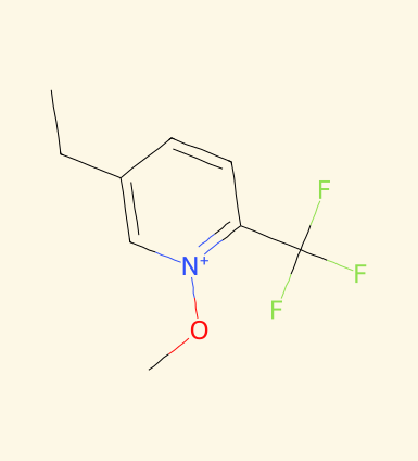 CCc1ccc(C(F)(F)F)[n+](OC)c1